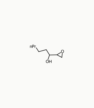 CCCCCC(O)C1CO1